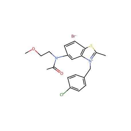 COCCN(C(C)=O)c1ccc2sc(C)[n+](Cc3ccc(Cl)cc3)c2c1.[Br-]